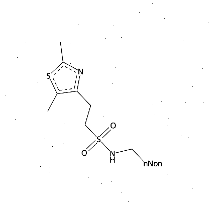 CCCCCCCCCCNS(=O)(=O)CCc1nc(C)sc1C